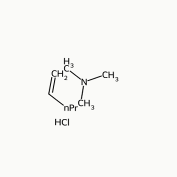 C=CCCC.CN(C)C.Cl